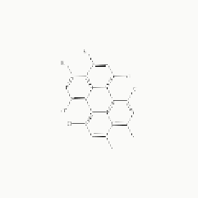 Cc1cc(Cl)c2c3c(Cl)cc(Br)c4c(Br)cc(Cl)c(c5c(Cl)cc(C)c1c25)c43